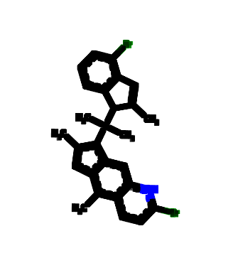 CC1=Cc2c(Br)cccc2C1[Si](C)(C)c1c(C)cc2c(C)c3ccc(Br)[nH]c3cc12